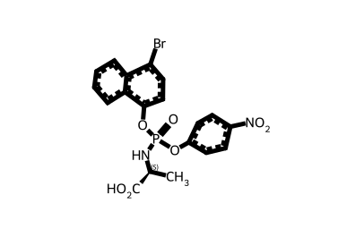 C[C@H](NP(=O)(Oc1ccc([N+](=O)[O-])cc1)Oc1ccc(Br)c2ccccc12)C(=O)O